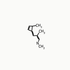 C=N/C=C(C)\C=C1\C=CC1C